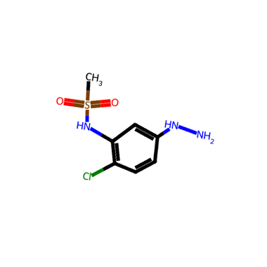 CS(=O)(=O)Nc1cc(NN)ccc1Cl